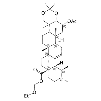 CCOCOC(=O)[C@]12CC[C@@H](C)[C@H](C)[C@H]1C1=CC[C@@H]3[C@@]4(C)C[C@@H](OC(C)=O)C5OC(C)(C)OCC5(C)C4CC[C@@]3(C)[C@]1(C)CC2